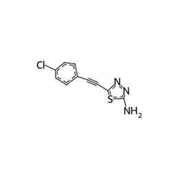 Nc1nnc(C#Cc2ccc(Cl)cc2)s1